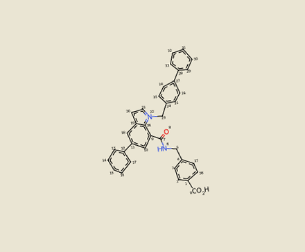 O=C(O)c1ccc(CNC(=O)c2cc(-c3ccccc3)cc3ccn(Cc4ccc(-c5ccccc5)cc4)c23)cc1